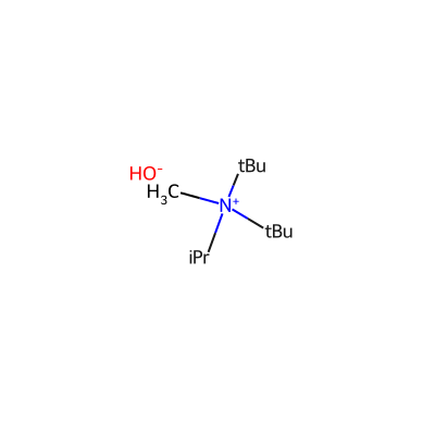 CC(C)[N+](C)(C(C)(C)C)C(C)(C)C.[OH-]